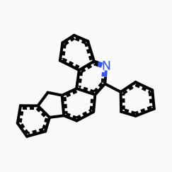 c1ccc(-c2nc3ccccc3c3c4c(ccc23)-c2ccccc2C4)cc1